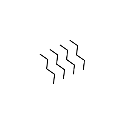 CCCCC.CCCCC.CCCCC.CCCCC